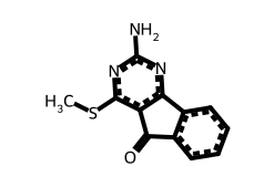 CSc1nc(N)nc2c1C(=O)c1ccccc1-2